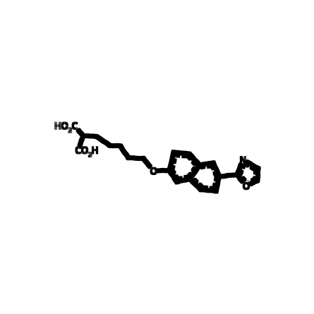 O=C(O)C(CCCCCOc1ccc2cc(-c3ncco3)ccc2c1)C(=O)O